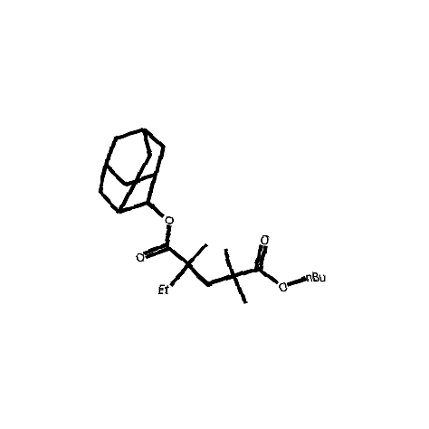 CCCCOC(=O)C(C)(C)CC(C)(CC)C(=O)OC1C2CC3CC(C2)CC1C3